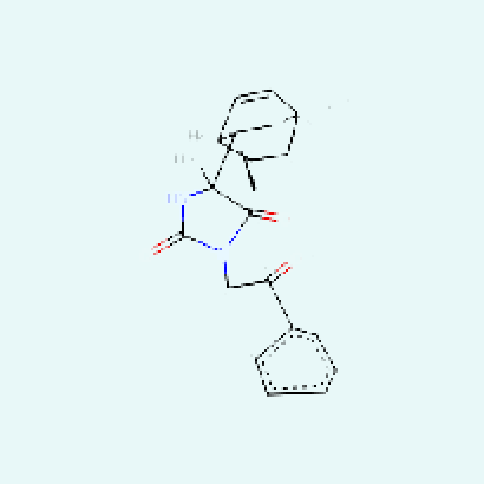 CC1([C@H]2C[C@H]3C=C[C@@H]2CC3)NC(=O)N(CC(=O)c2ccccc2)C1=O